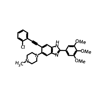 COc1cc(-c2nc3cc(N4CCN(C)CC4)c(C#Cc4ccccc4Cl)cc3[nH]2)cc(OC)c1OC